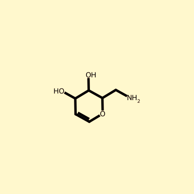 NCC1OC=CC(O)C1O